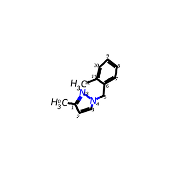 Cc1ccn(Cc2ccccc2C)n1